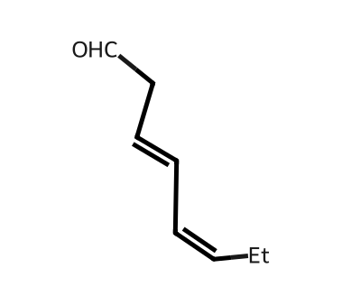 CC/C=C\C=C\CC=O